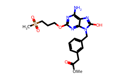 COC(=O)Cc1cccc(Cn2c(O)nc3c(N)nc(OCCCS(C)(=O)=O)nc32)c1